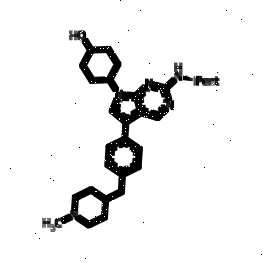 CCC[C@@H](C)Nc1ncc2c(-c3ccc(CC4CCN(C)CC4)cc3)cn(C3CCC(O)CC3)c2n1